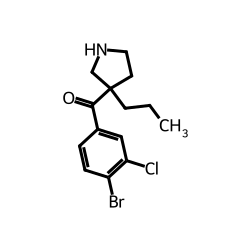 CCCC1(C(=O)c2ccc(Br)c(Cl)c2)CCNC1